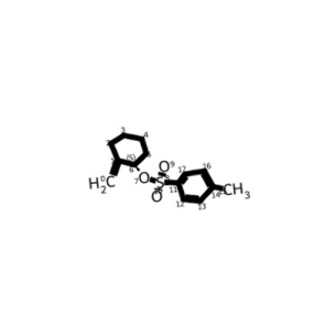 C=C1CCCC[C@@H]1OS(=O)(=O)c1ccc(C)cc1